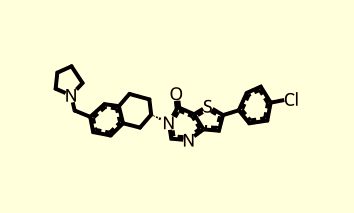 O=c1c2sc(-c3ccc(Cl)cc3)cc2ncn1[C@H]1CCc2cc(CN3CCCC3)ccc2C1